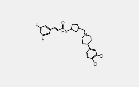 O=C(/C=C/c1cc(F)cc(F)c1)NC1CCC(CN2CCC(c3ccc(Cl)c(Cl)c3)CC2)C1